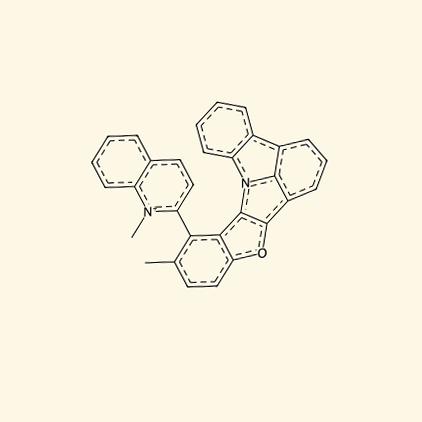 Cc1ccc2oc3c4cccc5c6ccccc6n(c54)c3c2c1-c1ccc2ccccc2[n+]1C